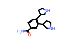 NC(=O)c1ccc(C2CCNC2)c(C2CCNC2)c1